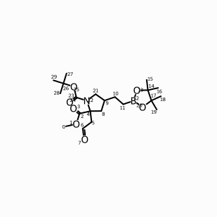 COC(=O)C1(CC=O)CC(CCB2OC(C)(C)C(C)(C)O2)CN1C(=O)OC(C)(C)C